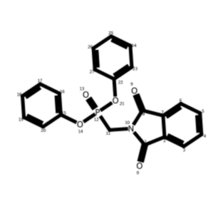 O=C1c2ccccc2C(=O)N1CP(=O)(Oc1ccccc1)Oc1ccccc1